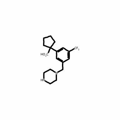 O=C(O)C1(c2cc(CN3CCNCC3)cc(C(F)(F)F)c2)CCCC1